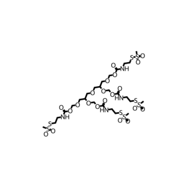 CS(=O)(=O)SCCNC(=O)OCOCC(COCC(COCOC(=O)NCCSS(C)(=O)=O)OCOC(=O)NCCSS(C)(=O)=O)OCOC(=O)NCCSS(C)(=O)=O